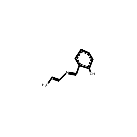 CC=CN=Cc1ccccc1O